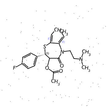 C/C=C1/S[C@@H](c2ccc(F)cc2)C(OC(C)=O)C(=O)N(CCN(C)C)/C1=C/C